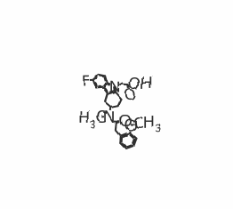 COc1ccccc1CC(=O)N(C)C1CCc2c(c3cc(F)ccc3n2CC(=O)O)C1